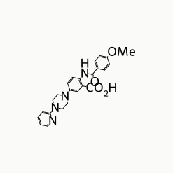 COc1ccc(C(=O)Nc2ccc(N3CCN(c4ccccn4)CC3)cc2C(=O)O)cc1